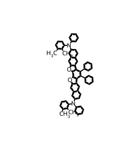 Cc1cccc(N(c2ccccc2)c2ccc3cc4c(cc3c2)oc2c3oc5cc6cc(N(c7ccccc7)c7cccc(C)c7C)ccc6cc5c3c(-c3ccccc3)c(-c3ccccc3)c42)c1C